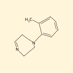 Cc1ccccc1N1CC=NCC1